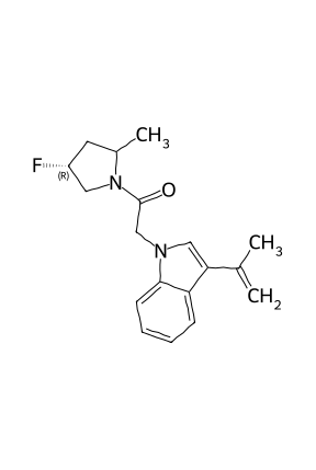 C=C(C)c1cn(CC(=O)N2C[C@H](F)CC2C)c2ccccc12